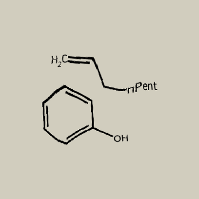 C=CCCCCCC.Oc1ccccc1